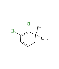 CCC1(C)CC=CC(Cl)=C1Cl